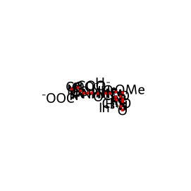 COc1cc2c(cc1-c1cccc(NC(=O)NCCNC(=O)[C@H](N)CCCCNC(=O)CN3CCN(CC(=O)[O-])CCN(CC(=O)[O-])CCN(CC(=O)[O-])CC3)c1)-c1c(c(C(=O)N3CCOCC3(C)C)nn1-c1cc(Cl)cc(Cl)c1)CO2.[In+3]